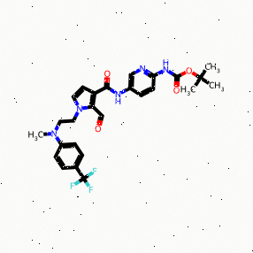 CN(CCn1ccc(C(=O)Nc2ccc(NC(=O)OC(C)(C)C)nc2)c1C=O)c1ccc(C(F)(F)F)cc1